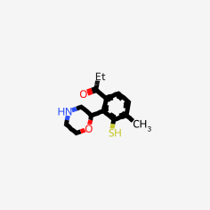 CCC(=O)c1ccc(C)c(S)c1C1CNCCO1